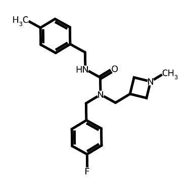 Cc1ccc(CNC(=O)N(Cc2ccc(F)cc2)CC2CN(C)C2)cc1